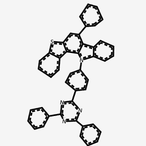 c1ccc(-c2nc(-c3ccccc3)nc(-c3ccc(-n4c5ccccc5c5c(-c6ccccc6)cc6sc7ccccc7c6c54)cc3)n2)cc1